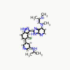 C=N/C(C)=C\N(C)c1ccnc2[nH]c(-c3n[nH]c4ccc(-c5cncc(NC(C)C)c5)c(F)c34)nc12